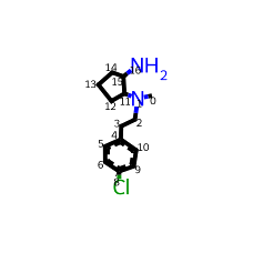 CN(CCc1ccc(Cl)cc1)C1CCCC1N